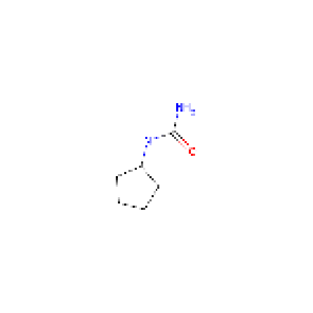 NC(=O)[N]C1CCCC1